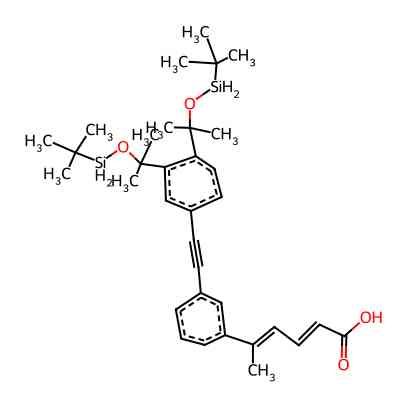 CC(=CC=CC(=O)O)c1cccc(C#Cc2ccc(C(C)(C)O[SiH2]C(C)(C)C)c(C(C)(C)O[SiH2]C(C)(C)C)c2)c1